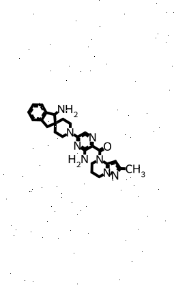 Cc1cc2n(n1)CCCN2C(=O)c1ncc(N2CCC3(CC2)Cc2ccccc2C3N)nc1N